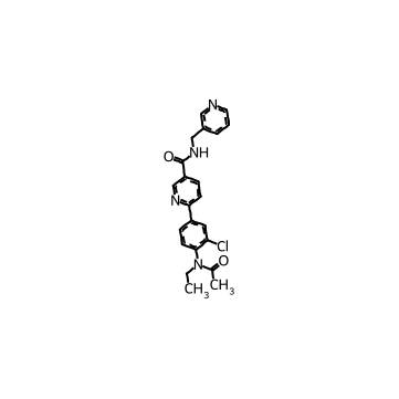 CCN(C(C)=O)c1ccc(-c2ccc(C(=O)NCc3cccnc3)cn2)cc1Cl